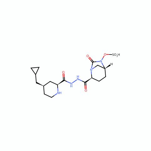 O=C(NNC(=O)[C@@H]1CC[C@@H]2CN1C(=O)N2OS(=O)(=O)O)[C@@H]1C[C@H](CC2CC2)CCN1